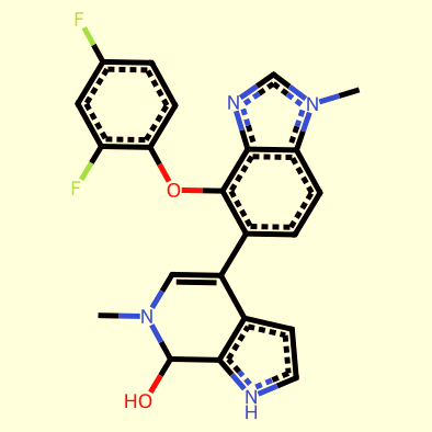 CN1C=C(c2ccc3c(ncn3C)c2Oc2ccc(F)cc2F)c2cc[nH]c2C1O